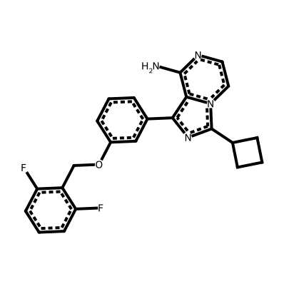 Nc1nccn2c(C3CCC3)nc(-c3cccc(OCc4c(F)cccc4F)c3)c12